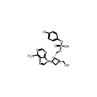 Nc1ncnc2c1ncn2[C@@H]1C[C@H](CO)[C@H]1COP(=O)(O)Oc1ccc(Cl)cc1